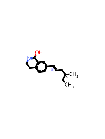 CC[C@H](C)C/C=C/c1ccc2c(c1)C(O)=NCC2